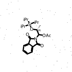 CC(=O)OC([C@@H](C)O[Si](C(C)C)(C(C)C)C(C)C)N1C(=O)c2ccccc2C1=O